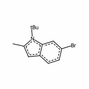 Cc1cc2ccc(Br)cc2n1C(C)(C)C